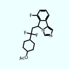 CC(=O)OC1CCC(C(F)(F)CC2c3c(F)cccc3-c3cncn32)CC1